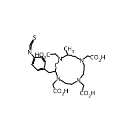 CC1CN(CC(=O)O)CCN(CC(=O)O)CCN(CC(=O)O)C(Cc2ccc(N=C=S)cc2)CN1CC(=O)O